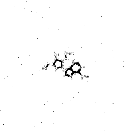 CCCCCO[C@H]1[C@H](O)[C@@H](CO)O[C@H]1n1cnc2c(OC)ncnc21